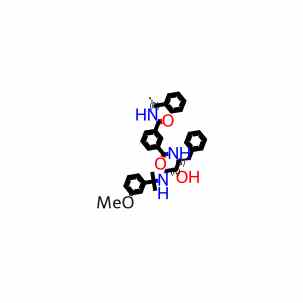 COc1cccc(C(C)(C)NC[C@@H](O)[C@H](Cc2ccccc2)NC(=O)c2cccc(C(=O)N[C@H](C)c3ccccc3)c2)c1